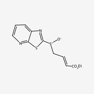 CCOC(=O)C=CC[S+]([O-])c1nc2cccnc2s1